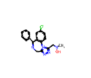 CN(O)Cc1nnc2n1-c1ccc(Cl)cc1C(c1ccccc1)=NC2